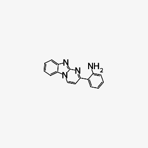 Nc1ccccc1-c1ccn2c(n1)nc1ccccc12